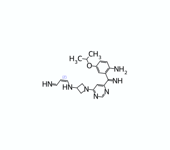 CC(C)Oc1ccc(N)c(C(=N)c2cc(N3CC(N/C=C\C=N)C3)ncn2)c1